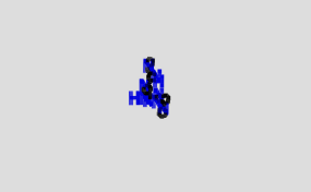 c1cc(N2CCCCC2)c2nc(-c3n[nH]c4cnc(-c5cncc(CN6CCCC6)c5)cc34)[nH]c2c1